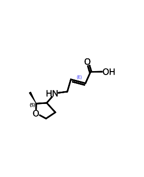 C[C@@H]1OCCC1NC/C=C/C(=O)O